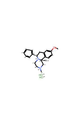 COc1ccc2c(c1)C[C@H](c1ccccc1)N1CCN(C)C[C@@H]21.Cl.Cl